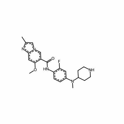 COc1cc2nc(C)cn2cc1C(=O)Nc1ccc(N(C)C2CCNCC2)cc1F